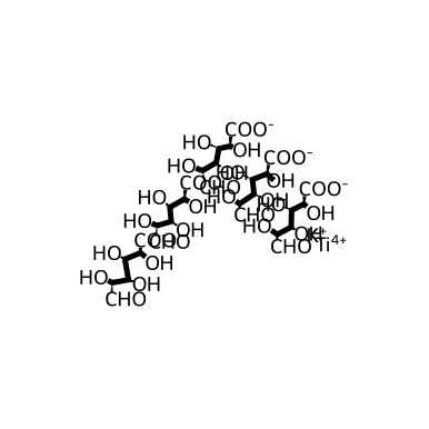 O=C[C@H](O)[C@@H](O)[C@H](O)[C@H](O)C(=O)[O-].O=C[C@H](O)[C@@H](O)[C@H](O)[C@H](O)C(=O)[O-].O=C[C@H](O)[C@@H](O)[C@H](O)[C@H](O)C(=O)[O-].O=C[C@H](O)[C@@H](O)[C@H](O)[C@H](O)C(=O)[O-].O=C[C@H](O)[C@@H](O)[C@H](O)[C@H](O)C(=O)[O-].[K+].[Ti+4]